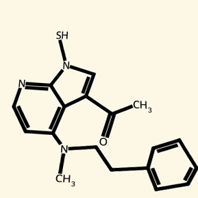 CC(=O)c1cn(S)c2nccc(N(C)CCc3ccccc3)c12